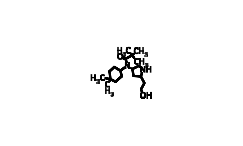 CC1(C)CCC(N(C(=O)C(C)(C)C)[C@@H]2CNC(CCO)C2)CC1